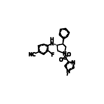 Cn1cnc(S(=O)(=O)N2C[C@H](Nc3ccc(C#N)cc3F)[C@@H](c3ccccc3)C2)c1